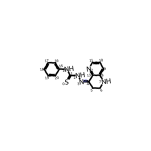 S=C(N/N=C1/CCNc2cccnc21)Nc1ccccc1